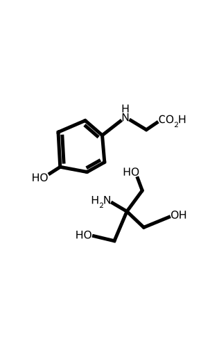 NC(CO)(CO)CO.O=C(O)CNc1ccc(O)cc1